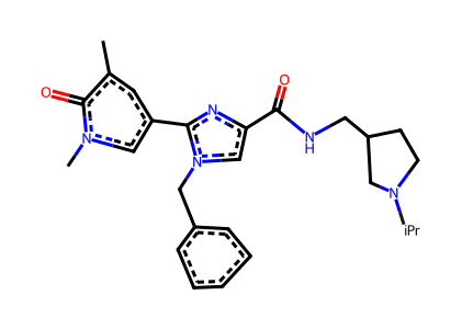 Cc1cc(-c2nc(C(=O)NCC3CCN(C(C)C)C3)cn2Cc2ccccc2)cn(C)c1=O